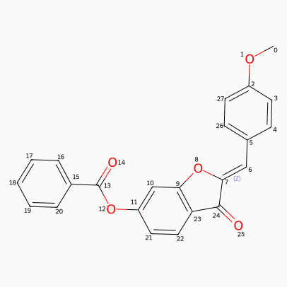 COc1ccc(/C=C2\Oc3cc(OC(=O)c4ccccc4)ccc3C2=O)cc1